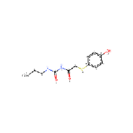 CCCCCCCCCCCCNC(=O)NC(=O)CSc1ccc(O)cc1